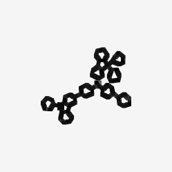 C1=CCCC(n2c3ccccc3c3cc(-c4ccc(N(c5ccc(-c6ccccc6)cc5)c5ccc6c(c5)C(c5ccccc5)(c5ccccc5)c5ccccc5-6)cc4)ccc32)=C1